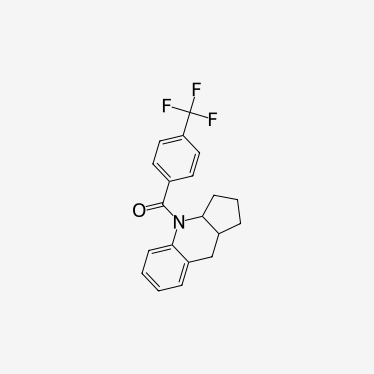 O=C(c1ccc(C(F)(F)F)cc1)N1c2ccccc2CC2CCCC21